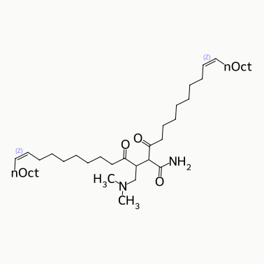 CCCCCCCC/C=C\CCCCCCCC(=O)C(CN(C)C)C(C(N)=O)C(=O)CCCCCCC/C=C\CCCCCCCC